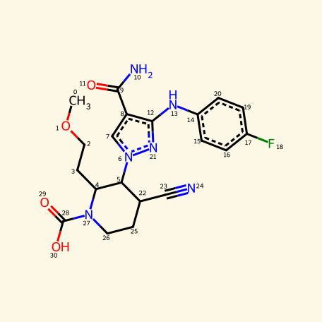 COCCC1C(n2cc(C(N)=O)c(Nc3ccc(F)cc3)n2)C(C#N)CCN1C(=O)O